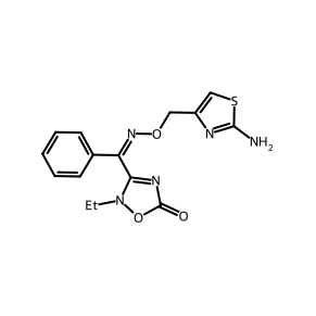 CCn1oc(=O)nc1/C(=N\OCc1csc(N)n1)c1ccccc1